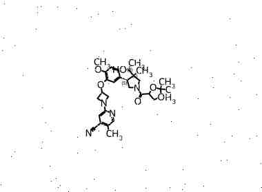 COc1ccc([C@@H]2CN(C(=O)C3COC(C)(C)O3)C[C@@]2(C)[C@@H](C)O)cc1OC1CN(c2cc(C#N)c(C)cn2)C1